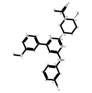 COc1cncc(-c2cc(Nc3cccc(F)c3)nc([C@H]3CC[C@@H](C)N(C(C)=O)C3)n2)c1